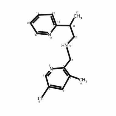 Cc1cc(Cl)cnc1CNCC(C)c1ccccn1